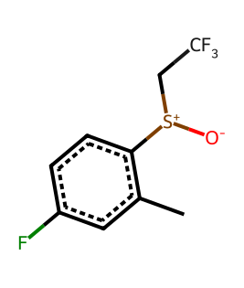 Cc1cc(F)ccc1[S+]([O-])CC(F)(F)F